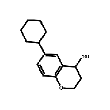 CC(C)(C)C1CCOc2ccc(C3CCCCC3)cc21